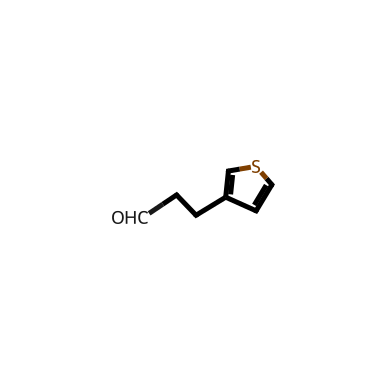 O=CCCc1ccsc1